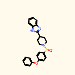 [O-][S+](c1ccc(Oc2ccccc2)cc1)N1CCC(c2nc3ccccc3[nH]2)CC1